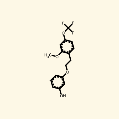 COc1cc(OC(F)(F)F)ccc1CCOc1c[c]cc(O)c1